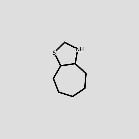 C1CCC2NCSC2CC1